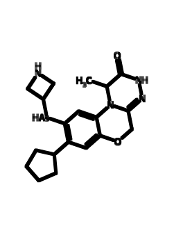 CC1C(=O)NN=C2COc3cc(C4CCCC4)c([AsH]C4CNC4)cc3N21